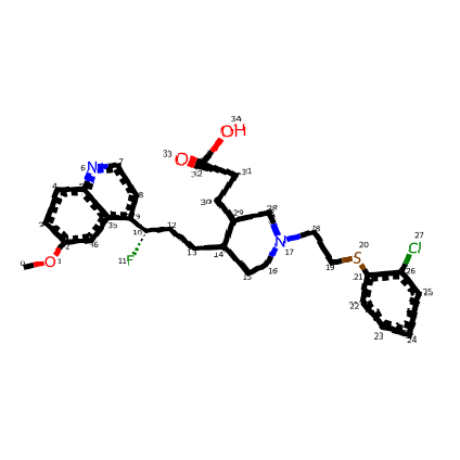 COc1ccc2nccc([C@@H](F)CCC3CCN(CCSc4ccccc4Cl)CC3CCC(=O)O)c2c1